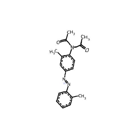 CC(=O)N(C(C)=O)c1ccc(/N=N/c2ccccc2C)cc1C